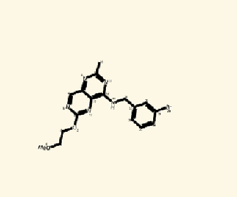 COCCOc1ncc2nc(C)nc(NCc3cccc(Br)c3)c2n1